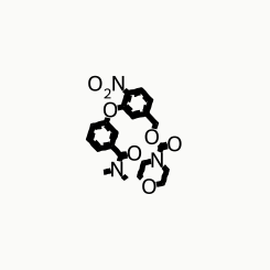 CN(C)C(=O)c1cccc(Oc2cc(COC(=O)N3CCOCC3)ccc2[N+](=O)[O-])c1